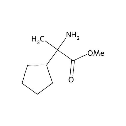 COC(=O)C(C)(N)C1CCCC1